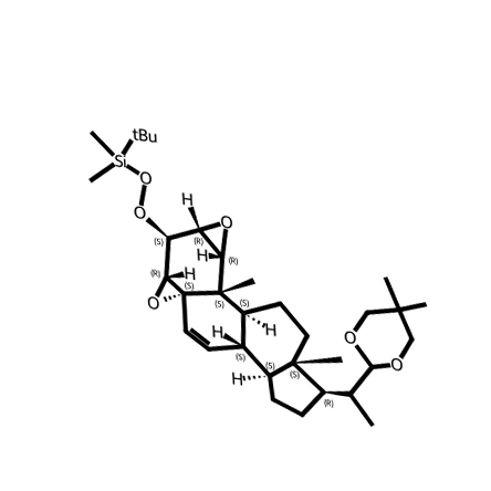 CC(C1OCC(C)(C)CO1)[C@H]1CC[C@H]2[C@@H]3C=C[C@@]45O[C@@H]4[C@@H](OO[Si](C)(C)C(C)(C)C)[C@@H]4O[C@@H]4[C@]5(C)[C@H]3CC[C@]12C